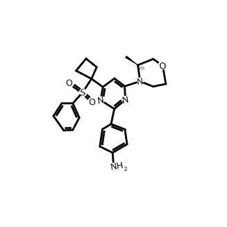 C[C@H]1COCCN1c1cc(C2(S(=O)(=O)c3ccccc3)CCC2)nc(-c2ccc(N)cc2)n1